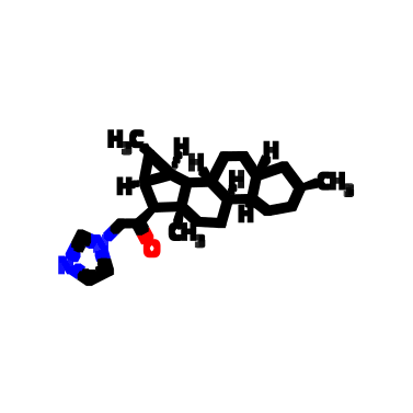 C[C@H]1CC[C@H]2[C@H](CC[C@H]3C4[C@@H]5[C@H](C)[C@@H]5[C@H](C(=O)Cn5ccnc5)[C@@]4(C)CC[C@H]23)C1